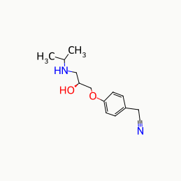 CC(C)NC[C@H](O)COc1ccc(CC#N)cc1